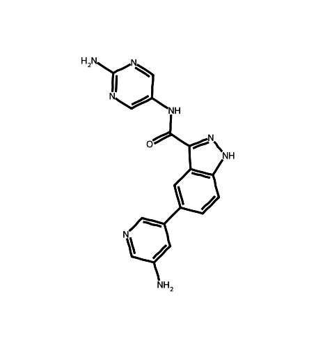 Nc1cncc(-c2ccc3[nH]nc(C(=O)Nc4cnc(N)nc4)c3c2)c1